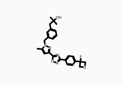 Cc1cc(-c2nc(-c3ccc(C4(F)COC4)cc3)no2)nn1Cc1cccc(CC(C)(C)O)c1